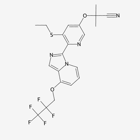 CCSc1cc(OC(C)(C)C#N)cnc1-c1ncc2c(OCC(F)(F)C(F)(F)F)cccn12